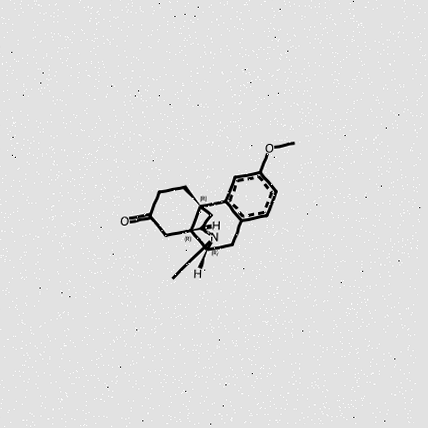 COc1ccc2c(c1)[C@@]13CCC(=O)C[C@H]1[C@@H](C2)N(C)CC3